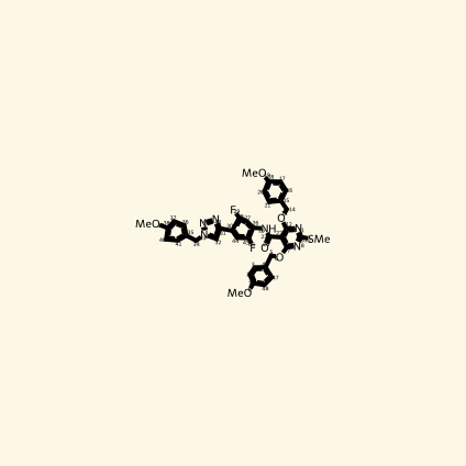 COc1ccc(COc2nc(SC)nc(OCc3ccc(OC)cc3)c2C(=O)Nc2cc(F)c(-c3cn(Cc4ccc(OC)cc4)nn3)cc2F)cc1